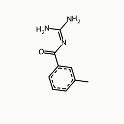 Cc1cccc(C(=O)N=C(N)N)c1